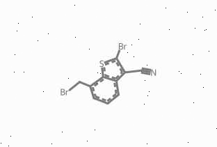 N#Cc1c(Br)sc2c(CBr)cccc12